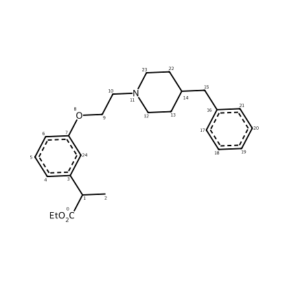 CCOC(=O)C(C)c1cccc(OCCN2CCC(Cc3ccccc3)CC2)c1